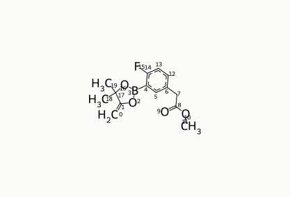 C=C1OB(c2cc(CC(=O)OC)ccc2F)OC1(C)C